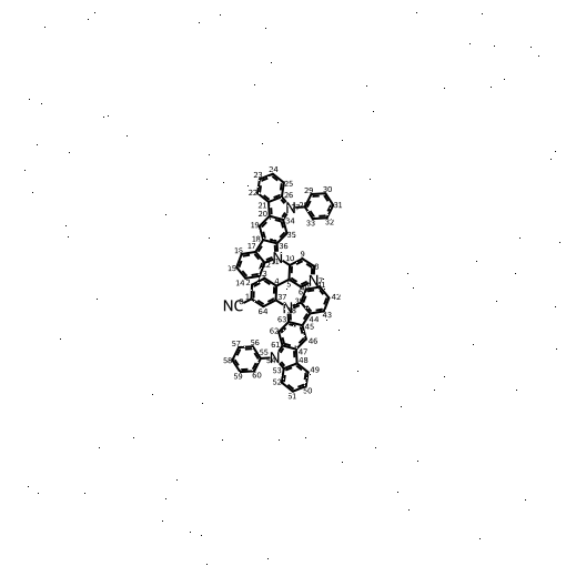 N#Cc1ccc(-c2cnccc2-n2c3ccccc3c3cc4c5ccccc5n(-c5ccccc5)c4cc32)c(-n2c3ccccc3c3cc4c5ccccc5n(-c5ccccc5)c4cc32)c1